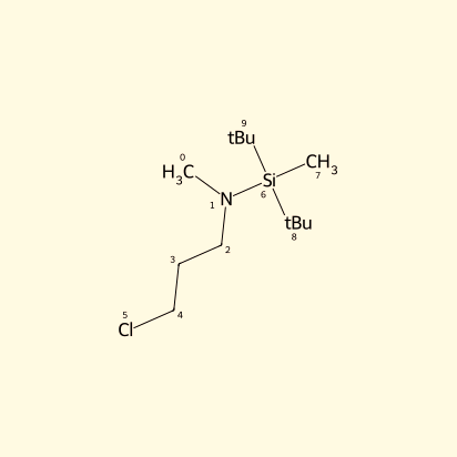 CN(CCCCl)[Si](C)(C(C)(C)C)C(C)(C)C